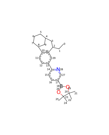 CCC1CC2CCCC(C2)c2ccc(-c3ccc(B4OC(C)(C)C(C)(C)O4)cn3)cc21